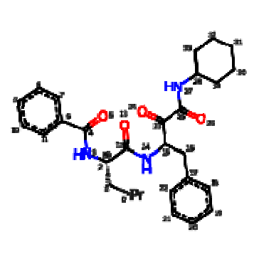 CC(C)C[C@H](NC(=O)c1ccccc1)C(=O)NC(Cc1ccccc1)C(=O)C(=O)NC1CCCCC1